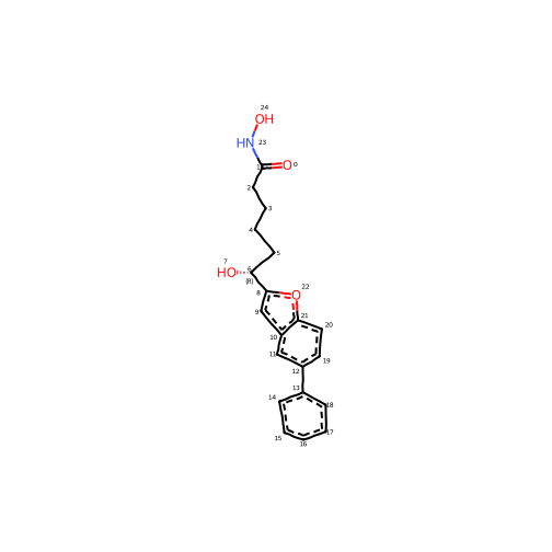 O=C(CCCC[C@@H](O)c1cc2cc(-c3ccccc3)ccc2o1)NO